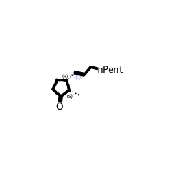 CCCCCC/C=C/[C@H]1CCC(=O)[C@H]1C